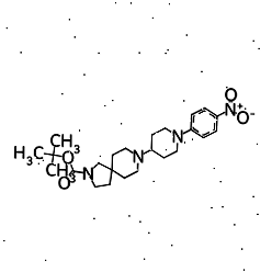 CC(C)(C)OC(=O)N1CCC2(CCN(C3CCN(c4ccc([N+](=O)[O-])cc4)CC3)CC2)C1